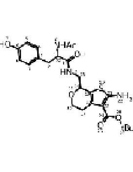 CC(=O)N[C@H](Cc1ccc(O)cc1)C(=O)NCC1OCCc2c1sc(N)c2C(=O)OC(C)(C)C